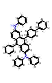 c1ccc(Nc2ccc3c(-c4ccccc4)c4cc(N(c5ccccc5)c5ccccc5)ccc4c(-c4ccc(-c5ccccc5)cc4)c3c2)cc1